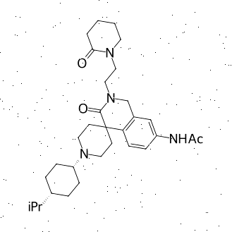 CC(=O)Nc1ccc2c(c1)CN(CCN1CCCCC1=O)C(=O)C21CCN([C@H]2CC[C@@H](C(C)C)CC2)CC1